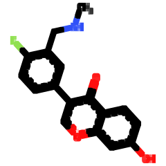 CNCc1cc(-c2coc3cc(O)ccc3c2=O)ccc1F